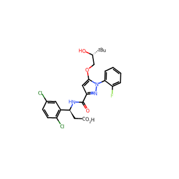 CC(C)(C)[C@@H](O)COc1cc(C(=O)N[C@@H](CC(=O)O)c2cc(Cl)ccc2Cl)nn1-c1ccccc1F